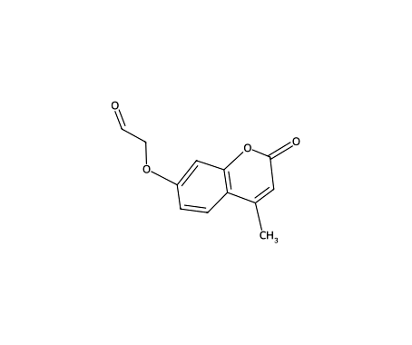 Cc1cc(=O)oc2cc(OCC=O)ccc12